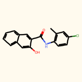 Cc1cc(Cl)ccc1NC(=O)c1cc2ccccc2cc1O